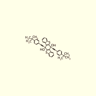 CC(C)(C)c1ccc(C#CC2(O)c3sc4ccccc4c3C(O)(C#Cc3ccc(C(C)(C)C)cc3)c3sc4ccccc4c32)cc1